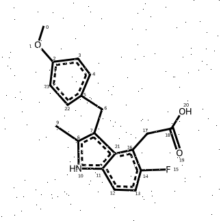 COc1ccc(Cc2c(C)[nH]c3ccc(F)c(CC(=O)O)c23)cc1